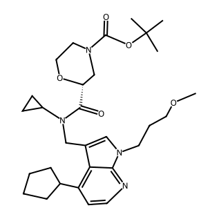 COCCCn1cc(CN(C(=O)[C@H]2CN(C(=O)OC(C)(C)C)CCO2)C2CC2)c2c(C3CCCC3)ccnc21